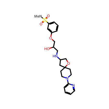 CNS(=O)(=O)c1cccc(OCC(O)CNC2COC3(CCN(c4ccccn4)CC3)C2)c1